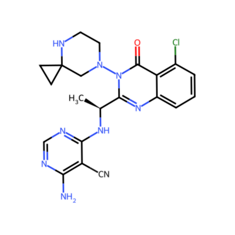 C[C@H](Nc1ncnc(N)c1C#N)c1nc2cccc(Cl)c2c(=O)n1N1CCNC2(CC2)C1